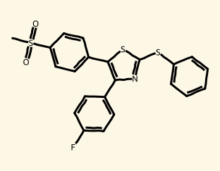 CS(=O)(=O)c1ccc(-c2sc(Sc3ccccc3)nc2-c2ccc(F)cc2)cc1